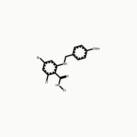 CCNC(=O)c1c(Cl)cc(Br)cc1NCc1ccc(OC)cc1